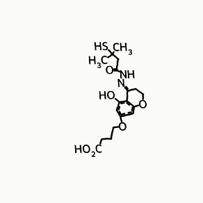 CC(C)(S)CC(=O)N/N=C1\CCOc2cc(OCCCC(=O)O)cc(O)c21